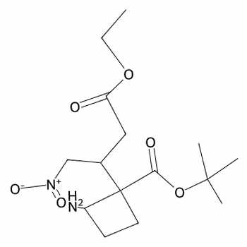 CCOC(=O)CC(C[N+](=O)[O-])C1(C(=O)OC(C)(C)C)CCC1N